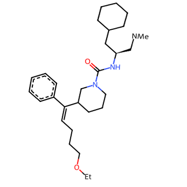 CCOCCCC=C(c1ccccc1)C1CCCN(C(=O)N[C@H](CNC)CC2CCCCC2)C1